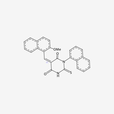 COc1ccc2ccccc2c1/C=C1/C(=O)NC(=S)N(c2cccc3ccccc23)C1=O